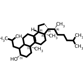 CC(C)CCC[C@@H](C)[C@H]1CC[C@H]2C3=C(CC[C@]12C)[C@@]1(C)CC[C@H](O)C(CC(C)C)C1CC3